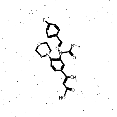 C/C(=C\C(=O)O)c1ccc(N2CCOCC2)c(N(/N=C/c2ccc(F)cc2)C(N)=O)c1